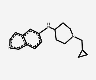 c1cc2cc(NC3CCN(CC4CC4)CC3)ccc2cn1